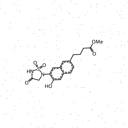 COC(=O)CCCc1ccc2cc(O)c(N3CC(=O)NS3(=O)=O)cc2c1